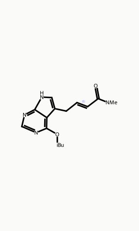 CCC(C)Oc1ncnc2[nH]cc(C/C=C/C(=O)NC)c12